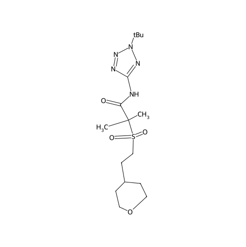 CC(C)(C)n1nnc(NC(=O)C(C)(C)S(=O)(=O)CCC2CCOCC2)n1